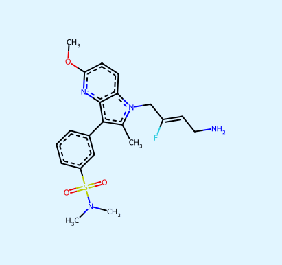 COc1ccc2c(n1)c(-c1cccc(S(=O)(=O)N(C)C)c1)c(C)n2C/C(F)=C/CN